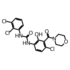 O=C(Nc1ccc(Cl)c(C(=O)N2CCOCC2)c1O)Nc1cccc(Cl)c1Cl